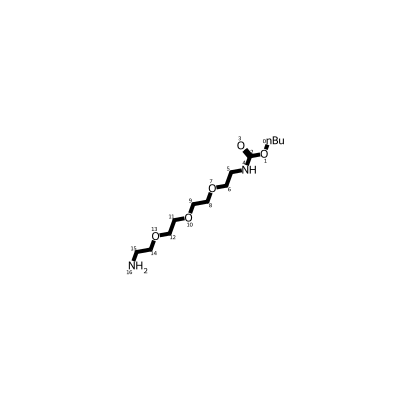 CCCCOC(=O)NCCOCCOCCOCCN